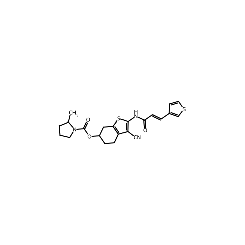 CC1CCCN1C(=O)OC1CCc2c(sc(NC(=O)C=Cc3ccsc3)c2C#N)C1